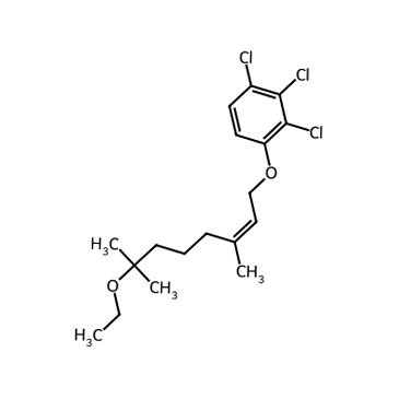 CCOC(C)(C)CCCC(C)=CCOc1ccc(Cl)c(Cl)c1Cl